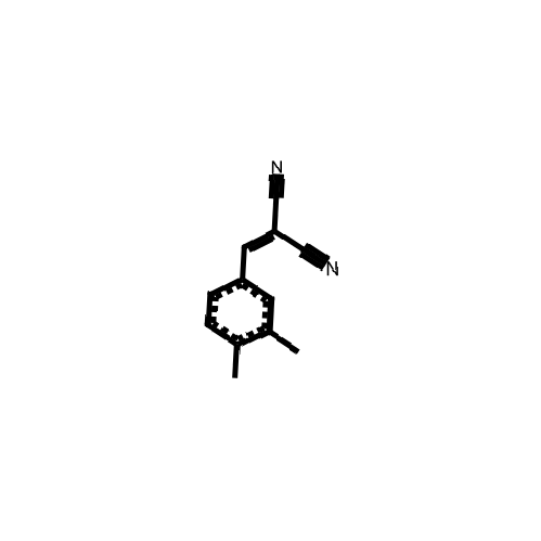 Cc1ccc(C=C(C#N)C#N)cc1C